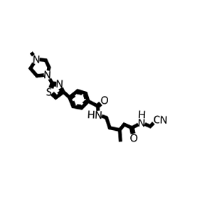 CC(CCNC(=O)c1ccc(-c2csc(N3CCN(C)CC3)n2)cc1)CC(=O)NCC#N